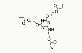 C=CC(=O)OCCNc1nc(OCCOC(=O)C=C)nc(OCCOC(=O)C=C)n1